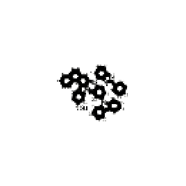 CC(C)(C)c1ccc2c3c4c(ccc5ccccc54)cc4c3n(c2c1)-c1cc(-n2c3ccccc3c3ccccc32)cc2c1B4c1cccc3nc(-c4ccccc4)n-2c13